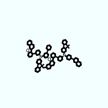 CC1(C)c2ccccc2-c2ccc(N(c3ccc(-c4ccc5ccccc5c4)cc3)c3cccc(-c4cccc5oc6c7cc(CC8(C)c9ccccc9-c9ccc(N(c%10cccc(-c%11ccccc%11)c%10)c%10cccc(-c%11cccc%12oc%13c%14ccccc%14ccc%13c%11%12)c%10)cc98)ccc7ccc6c45)c3)cc21